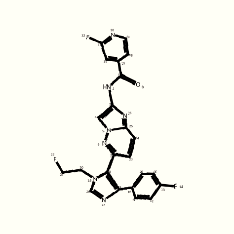 O=C(Nc1cn2nc(-c3c(-c4ccc(F)cc4)ncn3CCF)ccc2n1)c1ccnc(F)c1